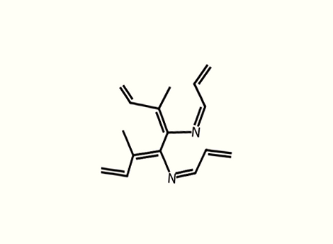 C=C\C=N/C(=C(/C)C=C)C(/N=C\C=C)=C(/C)C=C